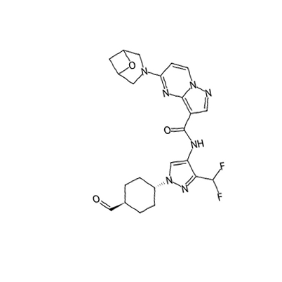 O=C[C@H]1CC[C@H](n2cc(NC(=O)c3cnn4ccc(N5CC6CC(C5)O6)nc34)c(C(F)F)n2)CC1